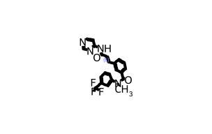 CN(C(=O)c1cccc(/C=C/C(=O)Nc2ccncn2)c1)c1cccc(C(F)(F)F)c1